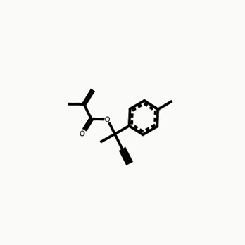 C#CC(C)(OC(=O)C(=C)C)c1ccc(C)cc1